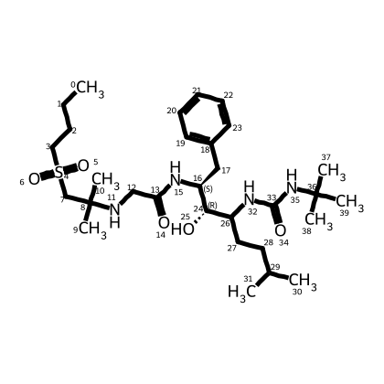 CCCCS(=O)(=O)CC(C)(C)NCC(=O)N[C@@H](Cc1ccccc1)[C@@H](O)C(CCC(C)C)NC(=O)NC(C)(C)C